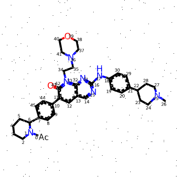 CC(=O)N1CCCCC1c1ccc(-c2cc3cnc(Nc4ccc(C5CCN(C)CC5)cc4)nc3n(CCN3CCOCC3)c2=O)cc1